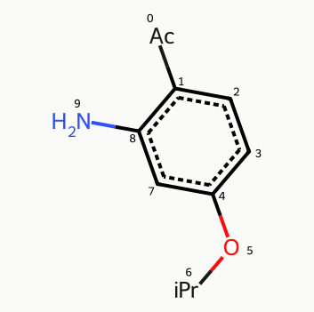 CC(=O)c1ccc(OC(C)C)cc1N